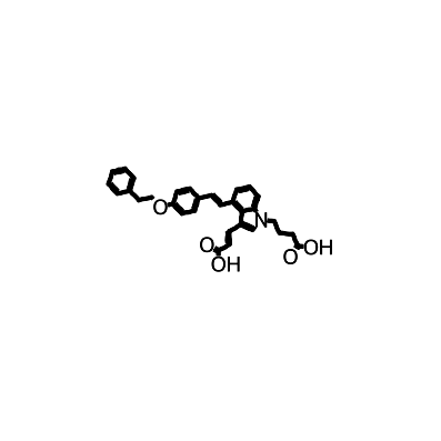 O=C(O)C=Cc1cn(CCCC(=O)O)c2cccc(C=Cc3ccc(OCCc4ccccc4)cc3)c12